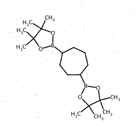 CC1(C)OB(C2CCCC(B3OC(C)(C)C(C)(C)O3)CC2)OC1(C)C